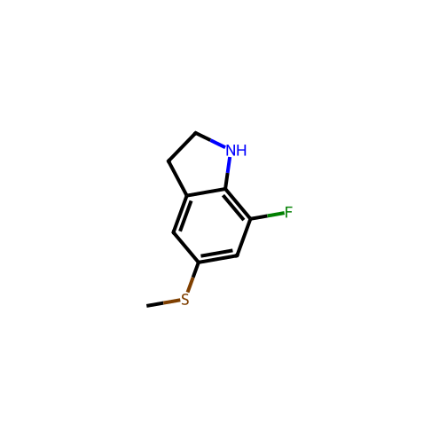 CSc1cc(F)c2c(c1)CCN2